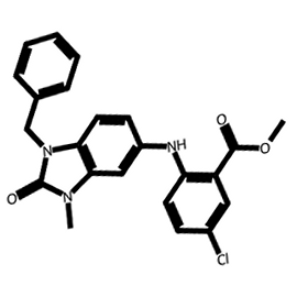 COC(=O)c1cc(Cl)ccc1Nc1ccc2c(c1)n(C)c(=O)n2Cc1ccccc1